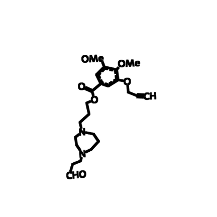 C#CCOc1cc(C(=O)OCCCN2CCCN(CCC=O)CC2)cc(OC)c1OC